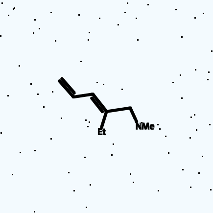 C=C/C=C(\CC)CNC